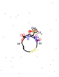 CC(C)[C@H]1NC(=O)[C@H]2CSSCC/C=C/[C@H](CC(=O)N[C@H](CS(C)(=O)=O)C(=O)N2)OC(=O)C[C@@H]1O